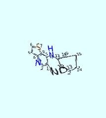 O=[N+]([O-])c1cnc2ccsc2c1NC1CC[CH]CC1